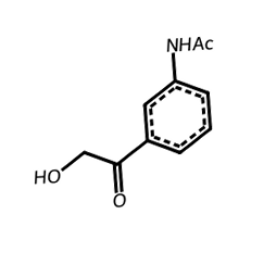 CC(=O)Nc1cccc(C(=O)CO)c1